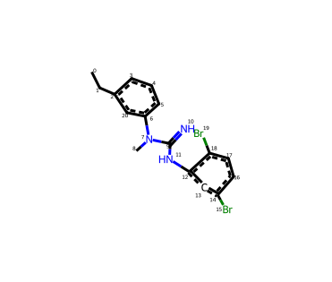 CCc1cccc(N(C)C(=N)Nc2cc(Br)ccc2Br)c1